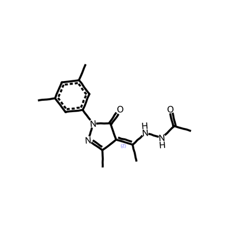 CC(=O)NN/C(C)=C1\C(=O)N(c2cc(C)cc(C)c2)N=C1C